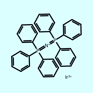 [Ir+3].c1ccc(P(=[N+]=P(c2ccccc2)(c2ccccc2)c2ccccc2)(c2ccccc2)c2ccccc2)cc1